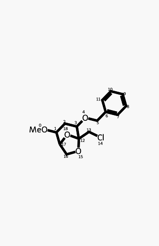 COC1CC(OCc2ccccc2)C2(CCl)OCC1O2